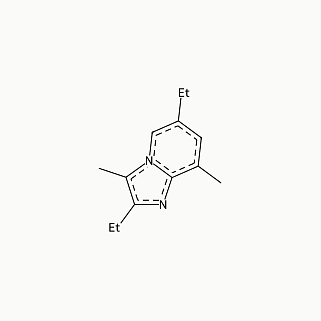 CCc1cc(C)c2nc(CC)c(C)n2c1